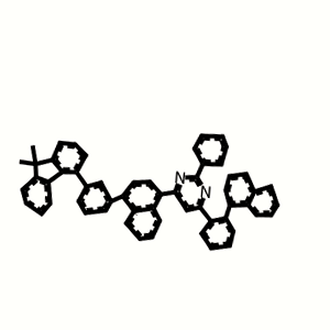 CC1(C)c2ccccc2-c2c(-c3cccc(-c4ccc(-c5cc(-c6ccccc6-c6cccc7ccccc67)nc(-c6ccccc6)n5)c5ccccc45)c3)cccc21